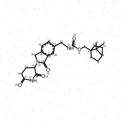 CC1(C)C2CCC1(COC(=O)NCc1ccc3c(c1)C(=O)N(C1CCC(=O)NC1=O)C3)CC2